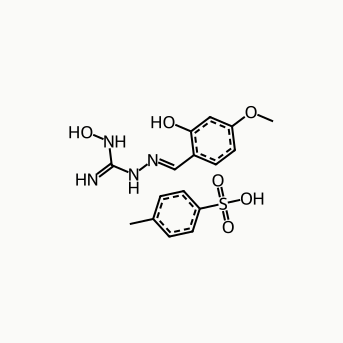 COc1ccc(/C=N/NC(=N)NO)c(O)c1.Cc1ccc(S(=O)(=O)O)cc1